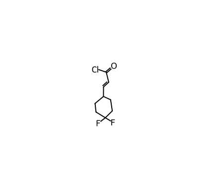 O=C(Cl)C=CC1CCC(F)(F)CC1